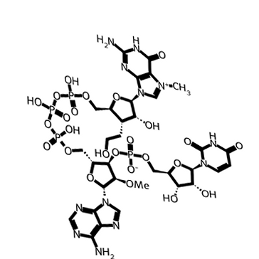 CO[C@@H]1[C@H](OP(=O)([O-])OC[C@H]2O[C@@H](n3ccc(=O)[nH]c3=O)[C@H](O)[C@@H]2O)[C@@H](COP(=O)(O)OP(=O)(O)OP(=O)(O)OC[C@H]2O[C@@H](n3c[n+](C)c4c(=O)[nH]c(N)nc43)[C@H](O)[C@@H]2CCO)O[C@H]1n1cnc2c(N)ncnc21